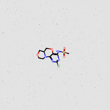 CS(=O)(=O)Nc1nc(Cl)nc2c1OCC1COCCN21